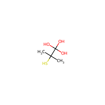 CC(C)(S)C(O)(O)O